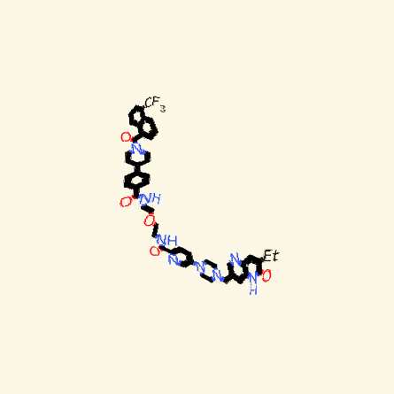 CCc1cc2ncc(CN3CCN(c4ccc(C(=O)NCCOCCNC(=O)c5ccc(C6CCN(C(=O)c7cccc8c(C(F)(F)F)cccc78)CC6)cc5)nc4)CC3)cc2[nH]c1=O